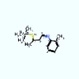 Cc1ccccc1/N=C\CC(C)S[Si](C)(C)C